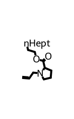 C=CCN1CCCC1C(=O)OCCCCCCCCC